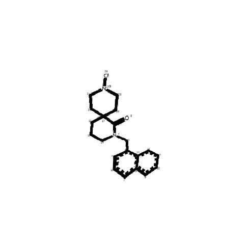 O=C1N(Cc2cccc3ccccc23)CCCC12CCN(Cl)CC2